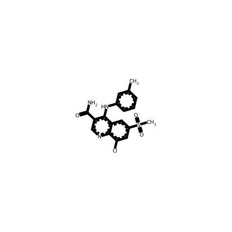 Cc1cccc(Nc2c(C(N)=O)cnc3c(Cl)cc(S(C)(=O)=O)cc23)c1